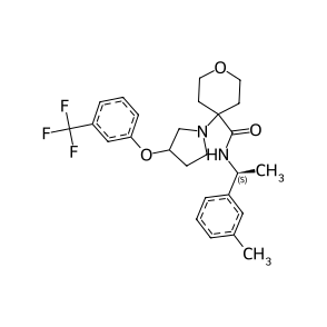 Cc1cccc([C@H](C)NC(=O)C2(N3CCC(Oc4cccc(C(F)(F)F)c4)C3)CCOCC2)c1